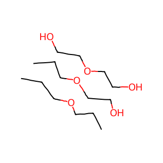 CCCOCCC.CCCOCCO.OCCOCCO